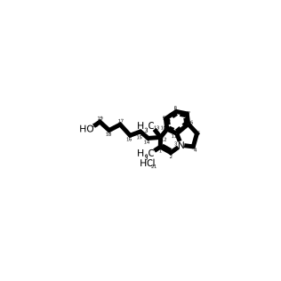 CC1=CN2CCc3cccc(c32)C1(C)CCCCCCO.Cl